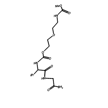 BC(=O)CNC(=O)C(NC(=O)OCCOCCNC(=O)OC)C(C)C